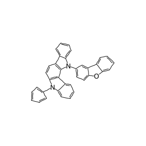 c1ccc(-n2c3ccccc3c3c2ccc2c4ccccc4n(-c4ccc5oc6ccccc6c5c4)c23)cc1